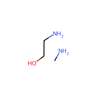 CN.NCCO